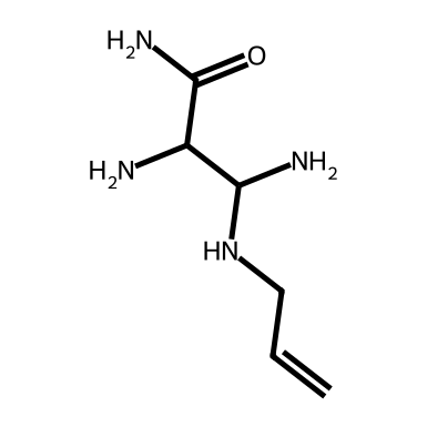 C=CCNC(N)C(N)C(N)=O